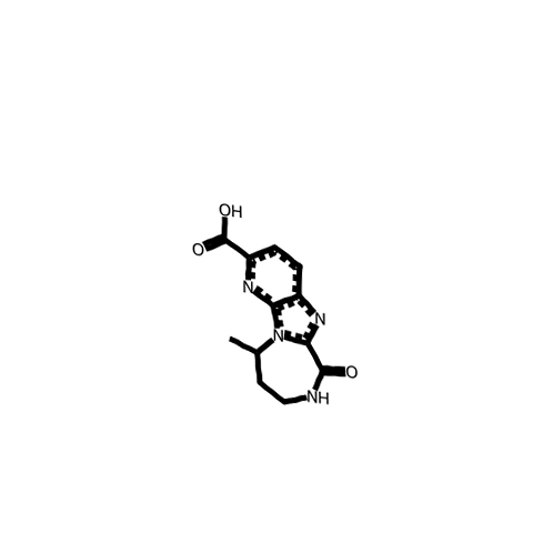 CC1CCNC(=O)c2nc3ccc(C(=O)O)nc3n21